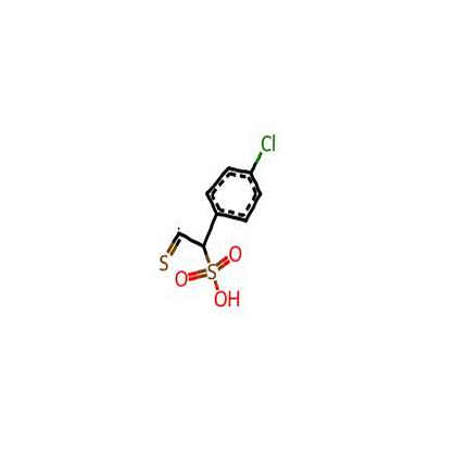 O=S(=O)(O)C([C]=S)c1ccc(Cl)cc1